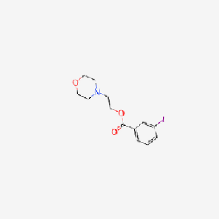 O=C(OCCN1CCOCC1)c1cccc(I)c1